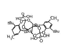 Cc1cc(C(C)(C)C)c(OC2(P(=O)(O)O)OCC3(CO2)COC(Oc2c(C(C)(C)C)cc(C)cc2C(C)(C)C)(P(=O)(O)O)OC3)c(C(C)(C)C)c1